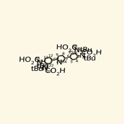 CC(C)(C)N(C(=O)O)c1ccc(-c2ccc(-c3ccc(N(C(=O)O)C(C)(C)C)c(N(C(=O)O)C(C)(C)C)c3)nc2)cc1N(C(=O)O)C(C)(C)C